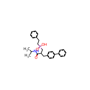 CC(C)NC(=O)C(Cc1ccc(-c2ccccc2)cc1)CP(=O)(O)CCc1ccccc1